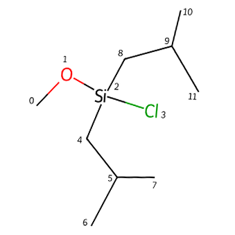 CO[Si](Cl)(CC(C)C)CC(C)C